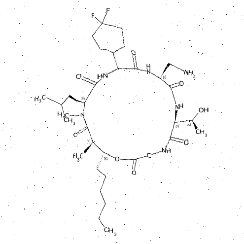 CCCCCC[C@H]1OC(=O)CNC(=O)[C@H]([C@H](C)O)NC(=O)[C@H](CN)NC(=O)C(C2CCC(F)(F)CC2)NC(=O)[C@H](CC(C)C)N(C)C(=O)[C@@H]1C